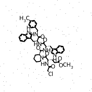 COC(=O)CC[C@H](NC(=O)CCl)C(=O)N1CCCC[C@H]1C(=O)N[C@@H](Cc1c[nH]c2ccccc12)C(=O)N[C@@H](Cc1c[nH]c2ccccc12)C(=O)NCc1ccc(C)cc1